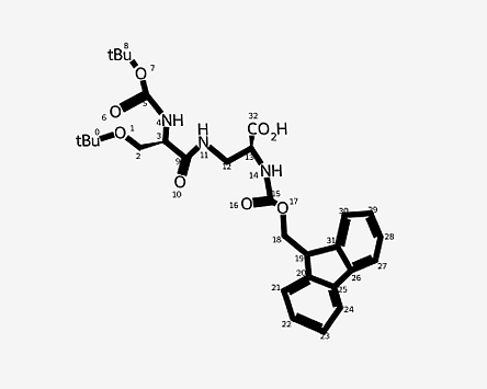 CC(C)(C)OC[C@@H](NC(=O)OC(C)(C)C)C(=O)NC[C@H](NC(=O)OCC1c2ccccc2-c2ccccc21)C(=O)O